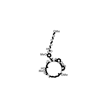 COCCOCCOCCOCCNC(=O)O[C@@H]1CC[C@@H](C[C@@H](C)[C@@H]2CC(=O)[C@H](C)/C=C(\C)[C@@H](O)[C@@H](OC)C(=O)C(C)C[C@H](C)/C=C/C=C/C=C(\C)[C@@H](OC)C[C@@H]3CC[C@@H](C)[C@@](O)(O3)C(=O)C(=O)N3CCCC[C@H]3C(=O)O2)C[C@H]1OC